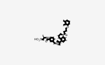 Cc1cccc(OCCCC(=O)N2CCCc3c(-c4cnn(Cc5cccc(C(=O)N[C@H](C)CC(=O)O)c5)c4)cccc32)c1C